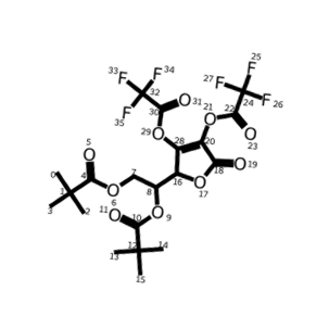 CC(C)(C)C(=O)OCC(OC(=O)C(C)(C)C)C1OC(=O)C(OC(=O)C(F)(F)F)=C1OC(=O)C(F)(F)F